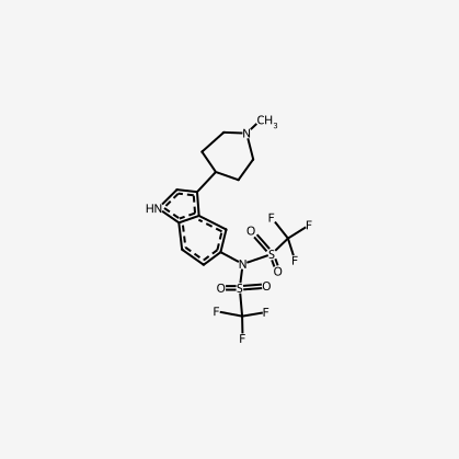 CN1CCC(c2c[nH]c3ccc(N(S(=O)(=O)C(F)(F)F)S(=O)(=O)C(F)(F)F)cc23)CC1